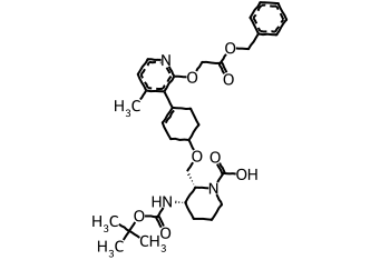 Cc1ccnc(OCC(=O)OCc2ccccc2)c1C1=CCC(OC[C@H]2[C@@H](NC(=O)OC(C)(C)C)CCCN2C(=O)O)CC1